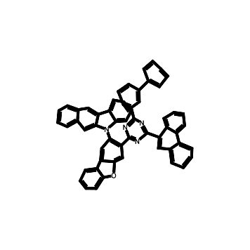 c1ccc(-c2cccc(-c3nc(-c4cc5oc6ccccc6c5cc4-n4c5ccccc5c5cc6ccccc6cc54)nc(-c4cc5ccccc5c5ccccc45)n3)c2)cc1